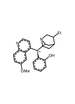 CCC1CN2CCC1CC2[C@@H](c1ccccc1O)c1ccnc2ccc(OC)cc12